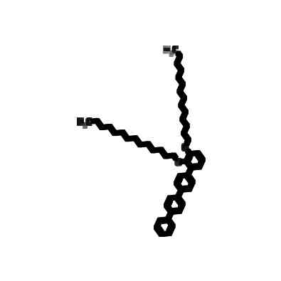 CCCCCCCCCCCCCCOc1cccc(-c2ccc(-c3ccc(-c4ccccc4)cc3)cc2)c1OCCCCCCCCCCCCCC